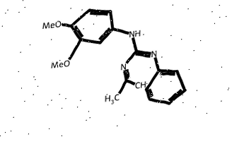 COc1ccc(N/C(N=C(C)C)=N/c2ccccc2)cc1OC